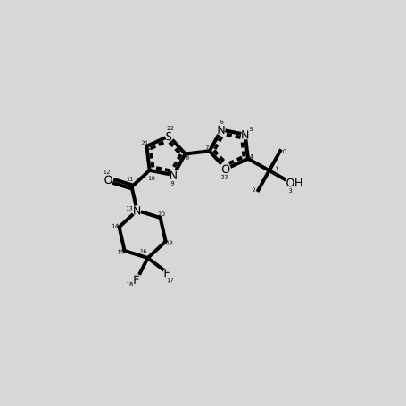 CC(C)(O)c1nnc(-c2nc(C(=O)N3CCC(F)(F)CC3)cs2)o1